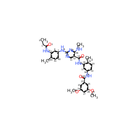 CCC(=O)Nc1cc(Nc2ncc(C(=O)Nc3cc(NC(=O)c4cc(OC)cc(OC)c4)ccc3C)c(NC)n2)ccc1C